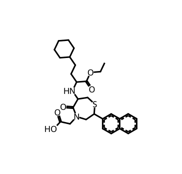 CCOC(=O)C(CCC1CCCCC1)NC1CSC(c2ccc3ccccc3c2)CN(CC(=O)O)C1=O